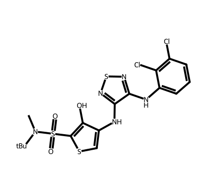 CN(C(C)(C)C)S(=O)(=O)c1scc(Nc2nsnc2Nc2cccc(Cl)c2Cl)c1O